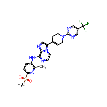 Cc1nc(S(C)(=O)=O)ccc1Nc1nccn2c(C3=CCN(c4ncc(C(F)(F)F)cn4)CC3)cnc12